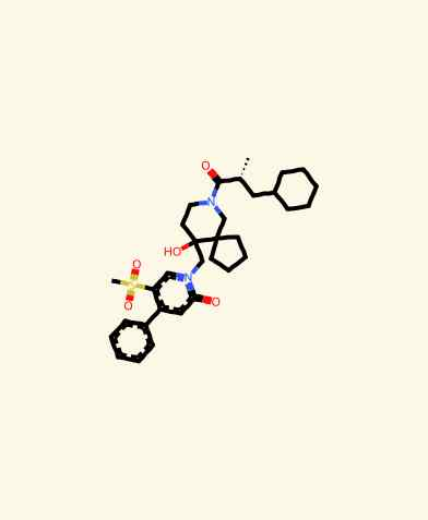 C[C@H](CC1CCCCC1)C(=O)N1CCC(O)(Cn2cc(S(C)(=O)=O)c(-c3ccccc3)cc2=O)C2(CCCC2)C1